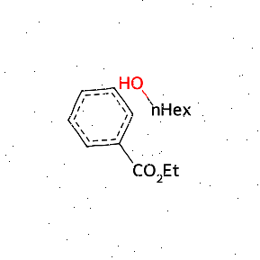 CCCCCCO.CCOC(=O)c1ccccc1